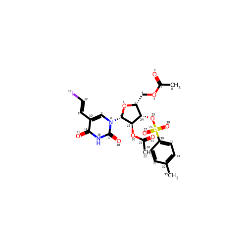 CC(=O)OC[C@H]1O[C@@H](n2cc(C=CI)c(=O)[nH]c2=O)[C@H](OC(C)=O)[C@H]1OS(=O)(=O)c1ccc(C)cc1